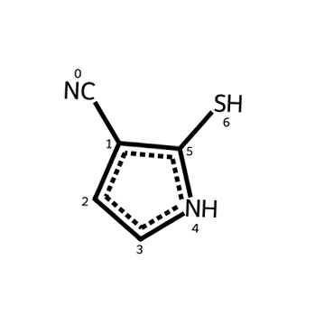 N#Cc1cc[nH]c1S